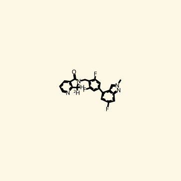 [2H]C1([2H])c2ncccc2C(=O)N1Cc1c(F)cc(-c2cc(F)cc3nn(C)cc23)cc1F